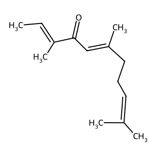 C/C=C(\C)C(=O)/C=C(\C)CCC=C(C)C